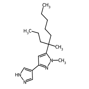 CCCCCC(C)(CCC)c1cc(-c2cn[nH]c2)nn1C